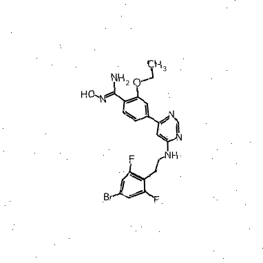 CCOc1cc(-c2cc(NCCc3c(F)cc(Br)cc3F)ncn2)ccc1/C(N)=N/O